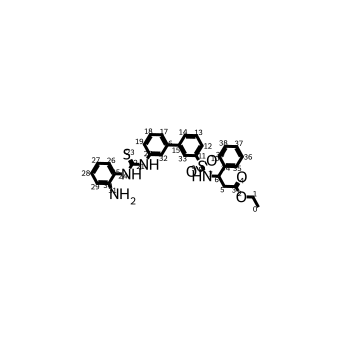 CCOC(=O)CC(NS(=O)(=O)c1cccc(-c2cccc(NC(=S)Nc3ccccc3N)c2)c1)c1ccccc1